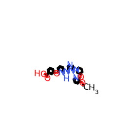 CCOc1cccnc1OC1CCCN(c2cncc(Nc3cccc(Oc4cccc(C(=O)O)c4)n3)n2)C1